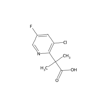 CC(C)(C(=O)O)c1ncc(F)cc1Cl